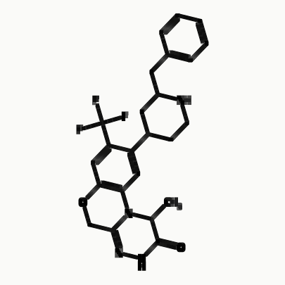 CC1C(=O)NN=C2COc3cc(C(F)(F)F)c(C4CCNC(Cc5ccccc5)C4)cc3N21